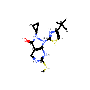 CSc1ncc2c(=O)n(C3CC3)n(-c3nc(C(C)(C)C)cs3)c2n1